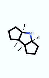 C[C@]12CCC[C@H]1N[C@H]1CCC[C@]12C